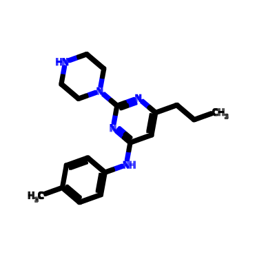 CCCc1cc(Nc2ccc(C)cc2)nc(N2CCNCC2)n1